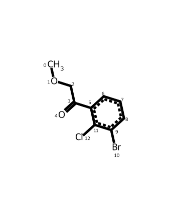 COCC(=O)c1cccc(Br)c1Cl